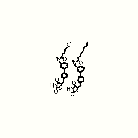 CCCCCCC(=O)N(C)Cc1cccc(-c2ccc(CC3SC(=O)NC3=O)cc2)c1.CCCCCCCC(=O)N(C)Cc1cccc(-c2ccc(CC3SC(=O)NC3=O)cc2)c1